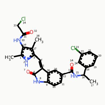 Cc1[nH]c(C=C2C(=O)Nc3ccc(C(=O)NC(C)c4cccc(Cl)c4)cc32)c(C)c1NC(=O)CCl